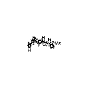 COc1ccccc1NC(=O)CC(=O)Nc1ccc(Oc2ccnc3cc(-c4c[nH]cn4)sc23)c(C)c1